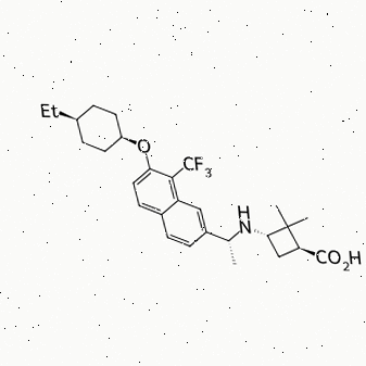 CC[C@H]1CC[C@@H](Oc2ccc3ccc([C@@H](C)N[C@H]4C[C@H](C(=O)O)C4(C)C)cc3c2C(F)(F)F)CC1